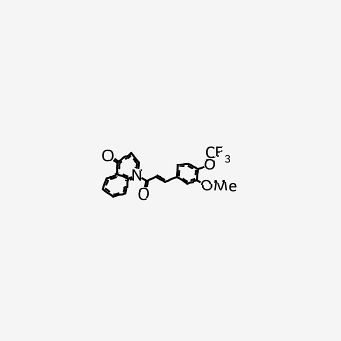 COc1cc(/C=C/C(=O)n2ccc(=O)c3ccccc32)ccc1OC(F)(F)F